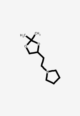 CC1(C)OCC(CCN2CCCC2)O1